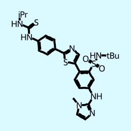 CC(C)NC(=S)Nc1ccc(-c2ncc(-c3ccc(Nc4nccn4C)cc3S(=O)(=O)NC(C)(C)C)s2)cc1